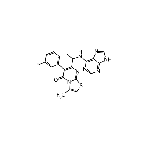 CC(Nc1ncnc2[nH]cnc12)c1nc2scc(C(F)(F)F)n2c(=O)c1-c1cccc(F)c1